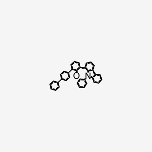 c1ccc(-c2ccc(-c3cccc4c3oc3ccccc3n3c5ccccc5c5cccc4c53)cc2)cc1